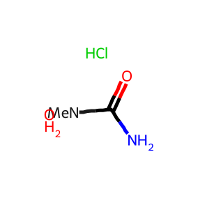 CNC(N)=O.Cl.O